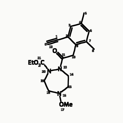 C#Cc1cc(C)cc(C)c1CC(=O)N1CCN(OC)CCN1C(=O)OCC